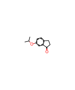 CC(C)Oc1ccc2c(c1)C(=O)CC2